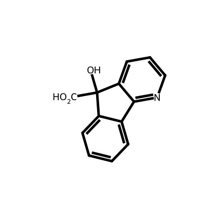 O=C(O)C1(O)c2ccccc2-c2ncccc21